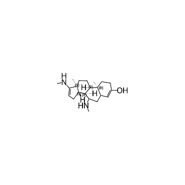 CNC1=CC[C@H]2[C@@H]3C(NC)CC4C=C(O)CC[C@]4(C)[C@@H]3CC[C@]12C